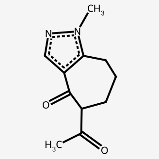 CC(=O)C1CCCc2c(cnn2C)C1=O